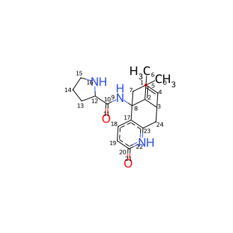 C/C=C1\C2C=C(C)CC1(NC(=O)C1CCCN1)c1ccc(=O)[nH]c1C2